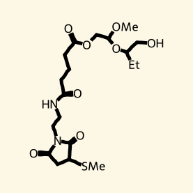 CCC(CO)OC(COC(=O)CCCC(=O)NCCN1C(=O)CC(SC)C1=O)OC